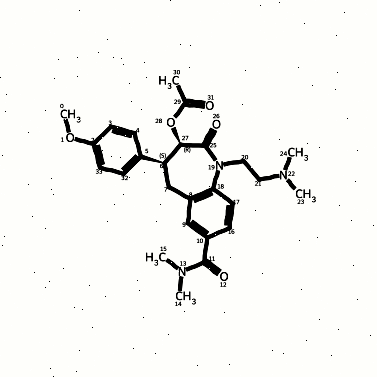 COc1ccc([C@@H]2Cc3cc(C(=O)N(C)C)ccc3N(CCN(C)C)C(=O)[C@@H]2OC(C)=O)cc1